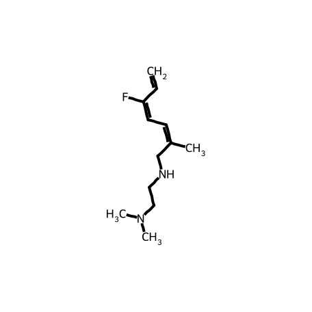 C=C/C(F)=C\C=C(\C)CNCCN(C)C